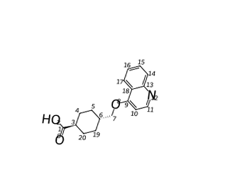 O=C(O)[C@H]1CC[C@H](COc2ccnc3ccccc23)CC1